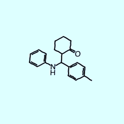 Cc1ccc(C(Nc2ccccc2)C2CCCCC2=O)cc1